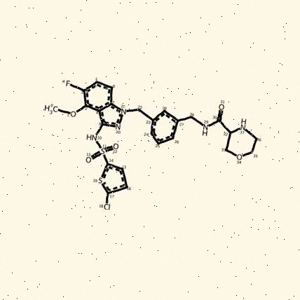 COc1c(F)ccc2c1c(NS(=O)(=O)c1ccc(Cl)s1)nn2Cc1cccc(CNC(=O)C2COCCN2)c1